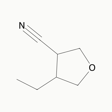 CCC1COCC1C#N